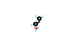 Fc1cc(F)cc([CH]c2ccc(F)c(OC(F)F)c2)c1